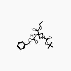 CCOC(=O)C1(NC(=O)OCc2ccccc2)CN(C(=O)OC(C)(C)C)C1